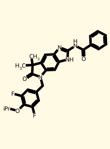 CC(C)Oc1c(F)cc(CN2C(=O)C(C)(C)c3cc4nc(NC(=O)c5ccccc5)[nH]c4cc32)cc1F